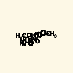 C[C@H](CO)n1nnnc1-c1cccc(NC(=O)c2cc3c(cn2)CCN(C)C3)n1